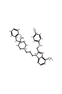 Cc1cccc2c1nc(COc1ccc(Cl)cc1)n2CCCN1CCC(O)(Cc2ccccc2)CC1